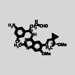 COc1cc2nc(C)nc(N[C@H](C)c3cc(N)cc(C(F)(F)F)c3)c2cc1OCC1([C@@H](C)OC)CC1.O=CO